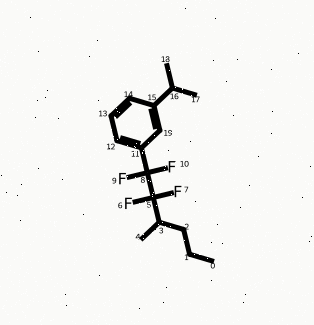 CCCC(C)C(F)(F)C(F)(F)c1cccc(C(C)C)c1